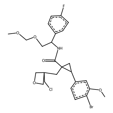 COCOCC(NC(=O)C1(CC2(CCl)COC2)CC1c1ccc(Br)c(OC)c1)c1ccc(F)cc1